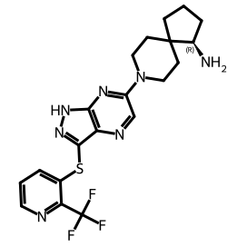 N[C@@H]1CCCC12CCN(c1cnc3c(Sc4cccnc4C(F)(F)F)n[nH]c3n1)CC2